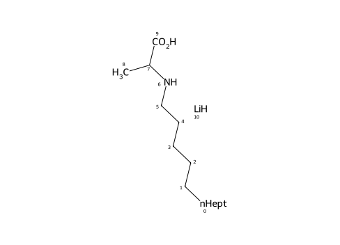 CCCCCCCCCCCCNC(C)C(=O)O.[LiH]